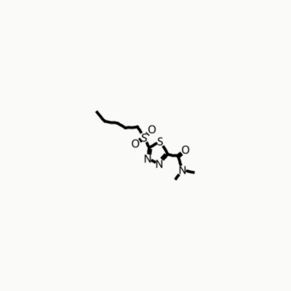 CCCCCS(=O)(=O)c1nnc(C(=O)N(C)C)s1